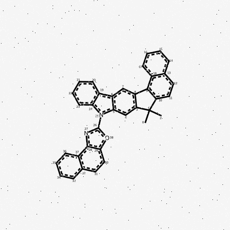 CC1(C)c2cc3c(cc2-c2c1ccc1ccccc21)c1ccccc1n3-c1nc2c(ccc3ccccc32)o1